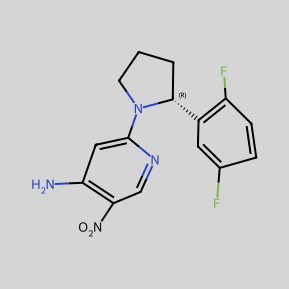 Nc1cc(N2CCC[C@@H]2c2cc(F)ccc2F)ncc1[N+](=O)[O-]